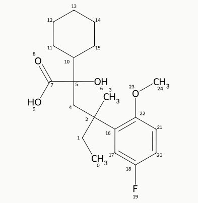 CCC(C)(CC(O)(C(=O)O)C1CCCCC1)c1cc(F)ccc1OC